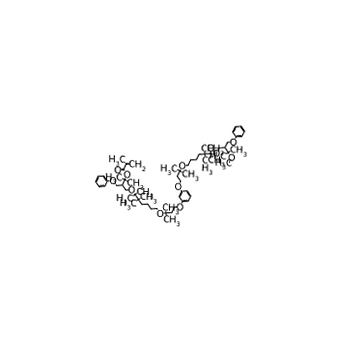 C=C(C)C(=O)OC(C)(C)C(COc1ccccc1)COC(C)(C)C(C)(C)CCCCOC(C)(C)CCOc1cccc(OCCC(C)(C)OCCCCC(C)(C)C(C)(C)OCC(COc2ccccc2)C(C)(C)OC)c1